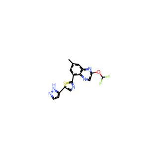 Cc1cc(-c2ncc(-c3ccn[nH]3)s2)c2ncc(OC(F)F)nc2c1